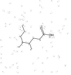 CCCC(C)C(C)CCC(=O)O